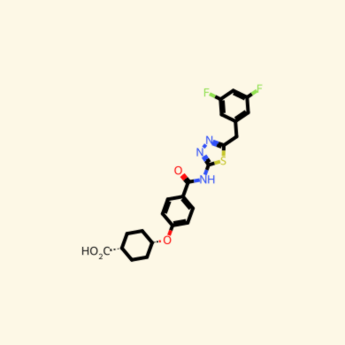 O=C(Nc1nnc(Cc2cc(F)cc(F)c2)s1)c1ccc(O[C@H]2CC[C@@H](C(=O)O)CC2)cc1